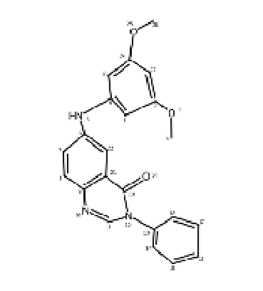 COc1cc(Nc2ccc3ncn(-c4ccccc4)c(=O)c3c2)cc(OC)c1